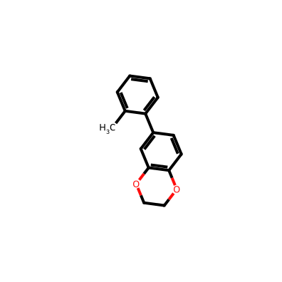 Cc1ccccc1-c1ccc2c(c1)OCCO2